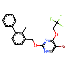 Cc1c(COc2ncc(Br)c(OCC(F)(F)F)n2)cccc1-c1ccccc1